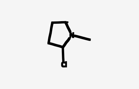 CN1[CH]CCC1Cl